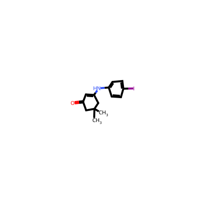 CC1(C)CC(=O)C=C(Nc2ccc(I)cc2)C1